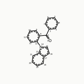 O=C(c1ccccc1)c1ccccc1-n1c[c]c2ccccc21